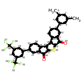 Cc1cc(C)cc(-c2ccc3c(c2)c(=O)c2sc4c(=O)c5cc(-c6cc(C(F)(F)F)cc(C(F)(F)F)c6)ccc5c4c23)c1